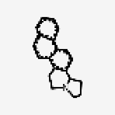 c1ccc2c(c1)ccc1c3c(ccc12)C1CCCN1CC3